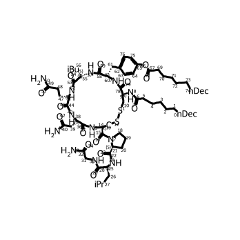 CCCCCCCCCCCCCCCC(=O)N[C@H]1CSSC[C@@H](C(=O)N2CCC[C@H]2C(=O)N[C@@H](CC(C)C)C(=O)NCC(N)=O)NC(=O)[C@H](CC(N)=O)NC(=O)[C@H](CCC(N)=O)NC(=O)[C@H]([C@@H](C)CC)NC(=O)[C@H](Cc2ccc(OC(=O)CCCCCCCCCCCCCCC)cc2)NC1=O